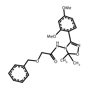 COc1ccc(C2=NOC(C)(C)N2NC(=O)COCc2ccccc2)c(OC)c1